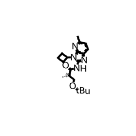 Cc1ccc2nc(NC(=O)[C@@H](C)COC(C)(C)C)n(C3CCC3)c2n1